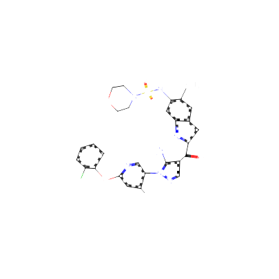 Cc1cc2cc(C(=O)c3cnn(-c4cnc(Oc5ccccc5Cl)cc4C)c3N)[nH]c2cc1NS(=O)(=O)N1CCOCC1